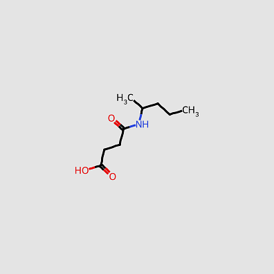 CCCC(C)NC(=O)CCC(=O)O